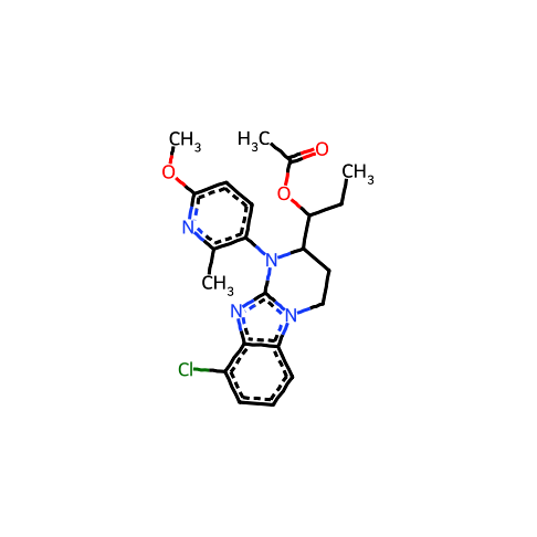 CCC(OC(C)=O)C1CCn2c(nc3c(Cl)cccc32)N1c1ccc(OC)nc1C